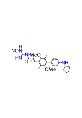 COc1c(C)c(-c2ccc(NC3CCCC3)cc2)c(OC)c(C)c1/C=C(\C)C(=O)NC(=N)NC#N